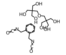 O=C=NCc1ccccc1CN=C=O.OCC(CO)(CO)COCC(CO)(CO)CO